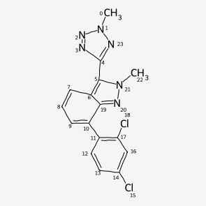 Cn1nnc(-c2c3cccc(-c4ccc(Cl)cc4Cl)c3nn2C)n1